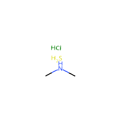 CNC.Cl.S